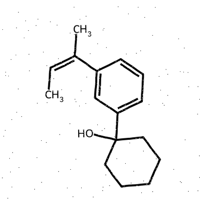 C/C=C(/C)c1cccc(C2(O)CCCCC2)c1